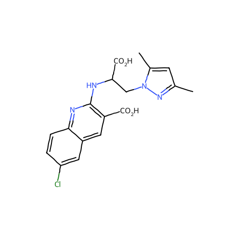 Cc1cc(C)n(CC(Nc2nc3ccc(Cl)cc3cc2C(=O)O)C(=O)O)n1